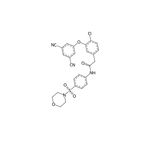 N#Cc1cc(C#N)cc(Oc2cc(CC(=O)Nc3ccc(S(=O)(=O)N4CCOCC4)cc3)ccc2Cl)c1